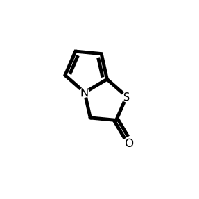 O=C1Cn2cccc2S1